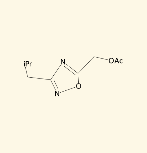 CC(=O)OCc1nc(CC(C)C)no1